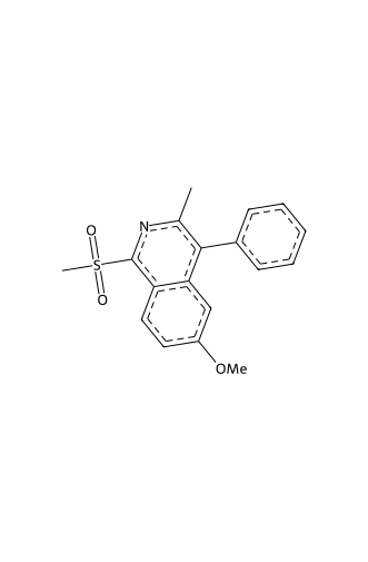 COc1ccc2c(S(C)(=O)=O)nc(C)c(-c3ccccc3)c2c1